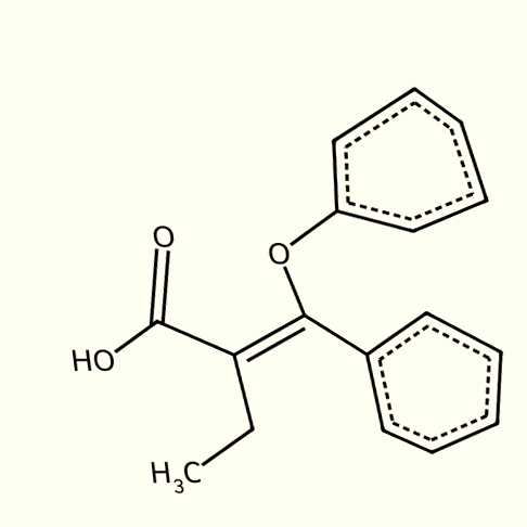 CCC(C(=O)O)=C(Oc1ccccc1)c1ccccc1